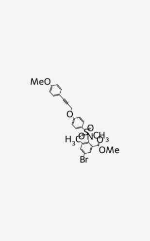 COC(=O)c1cc(Br)cc(C)c1N(C)S(=O)(=O)c1ccc(OCC#Cc2ccc(OC)cc2)cc1